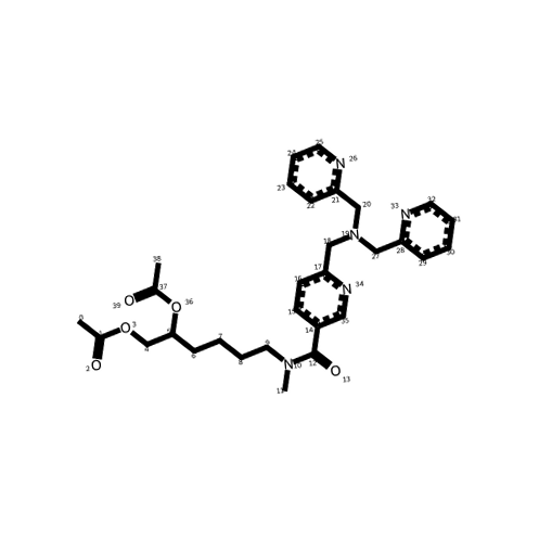 CC(=O)OCC(CCCCN(C)C(=O)c1ccc(CN(Cc2ccccn2)Cc2ccccn2)nc1)OC(C)=O